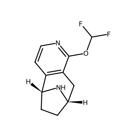 FC(F)Oc1nccc2c1C[C@@H]1CC[C@H]2N1